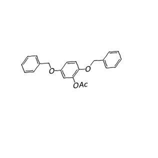 CC(=O)Oc1cc(OCc2ccccc2)ccc1OCc1ccccc1